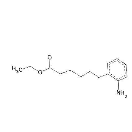 CCOC(=O)CCCCCc1ccccc1N